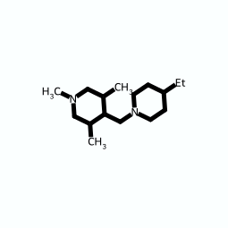 CCC1CCN(CC2C(C)CN(C)CC2C)CC1